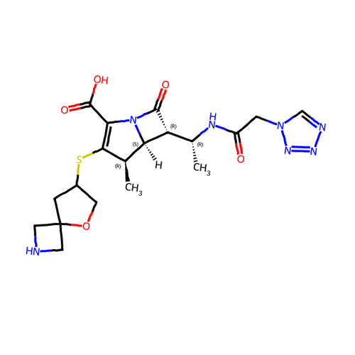 C[C@@H](NC(=O)Cn1cnnn1)[C@H]1C(=O)N2C(C(=O)O)=C(SC3COC4(CNC4)C3)[C@H](C)[C@H]12